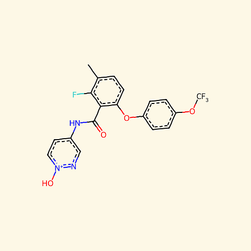 Cc1ccc(Oc2ccc(OC(F)(F)F)cc2)c(C(=O)Nc2cc[n+](O)nc2)c1F